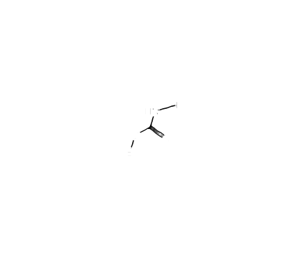 CCOC(=S)NI